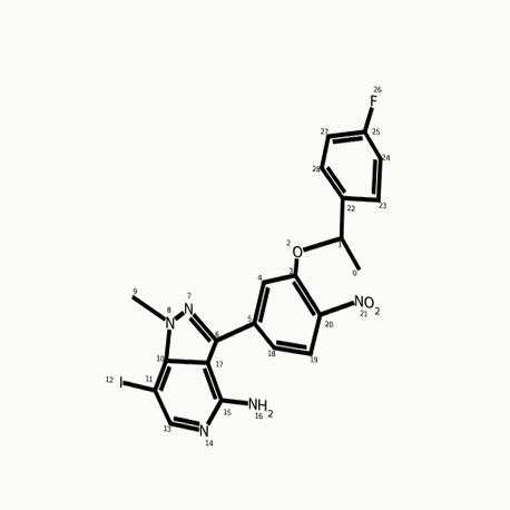 CC(Oc1cc(-c2nn(C)c3c(I)cnc(N)c23)ccc1[N+](=O)[O-])c1ccc(F)cc1